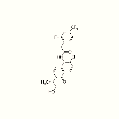 C[C@H](CO)n1ccc2c(NC(=O)Cc3ccc(C(F)(F)F)cc3F)c(Cl)ccc2c1=O